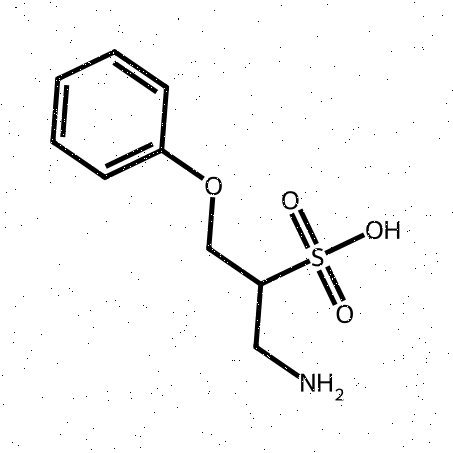 NCC(COc1ccccc1)S(=O)(=O)O